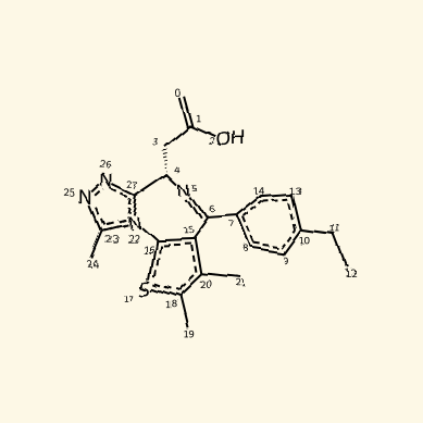 C=C(O)C[C@@H]1N=C(c2ccc(CC)cc2)c2c(sc(C)c2C)-n2c(C)nnc21